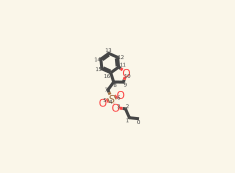 CCCOS(=O)(=O)CC1COc2ccccc21